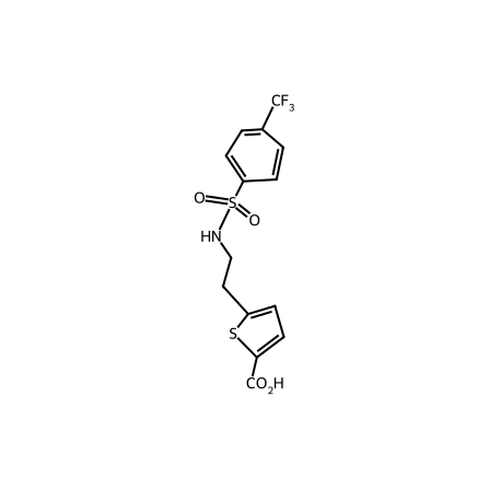 O=C(O)c1ccc(CCNS(=O)(=O)c2ccc(C(F)(F)F)cc2)s1